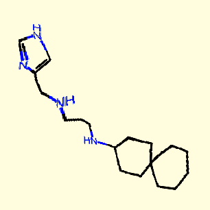 c1nc(CNCCNC2CCC3(CCCCC3)CC2)c[nH]1